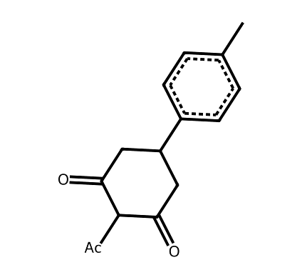 CC(=O)C1C(=O)CC(c2ccc(C)cc2)CC1=O